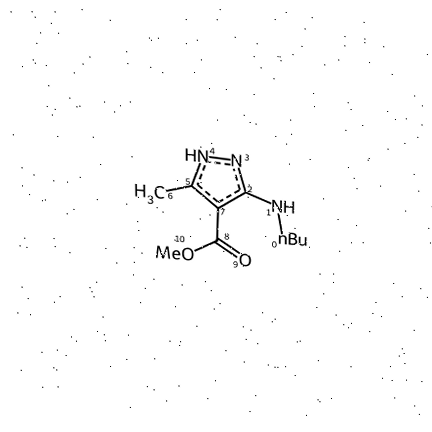 CCCCNc1n[nH]c(C)c1C(=O)OC